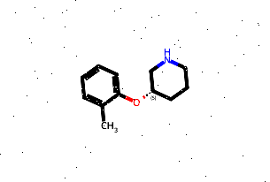 Cc1ccccc1O[C@H]1CCCNC1